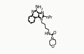 CCCc1nc2c(N)nc3ccccc3c2n1CCCCNC(=O)N1CCOCC1